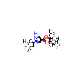 CC(CC(F)(F)F)N1C=C(B2OC(C)(C)C(C)(C)O2)CN1